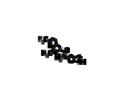 CN(C)c1nc(C(F)(F)F)ccc1/C=C/C(=O)Nc1ccc2c(c1)CCN2